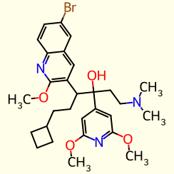 COc1cc(C(O)(CCN(C)C)C(CCC2CCC2)c2cc3cc(Br)ccc3nc2OC)cc(OC)n1